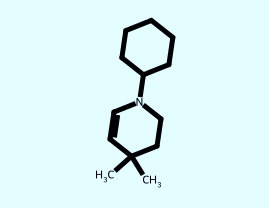 CC1(C)C=CN(C2CCCCC2)CC1